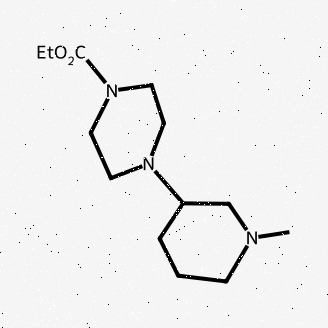 CCOC(=O)N1CCN(C2CCCN(C)C2)CC1